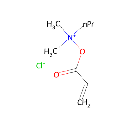 C=CC(=O)O[N+](C)(C)CCC.[Cl-]